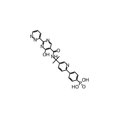 CC(C)(NC(=O)c1cnc(-c2cccnn2)nc1O)c1ccc(-c2ccc(P(=O)(O)O)cc2)nc1